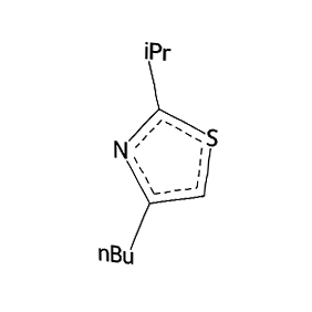 CCCCc1csc(C(C)C)n1